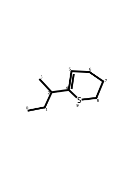 CCC(C)C1=CCCCS1